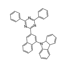 C1=CC2c3ccccc3N(c3cc(-c4nc(-c5ccccc5)nc(-c5ccccc5)n4)cc4ccccc34)C2C=C1